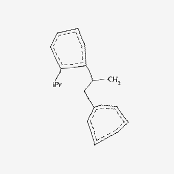 CC(C)c1ccccc1C(C)Cc1ccccc1